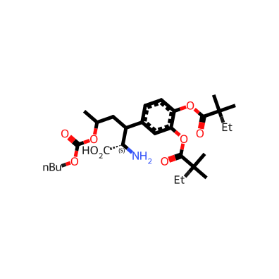 CCCCOC(=O)OC(C)CC(c1ccc(OC(=O)C(C)(C)CC)c(OC(=O)C(C)(C)CC)c1)[C@H](N)C(=O)O